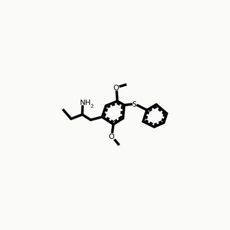 CCC(N)Cc1cc(OC)c(Sc2ccccc2)cc1OC